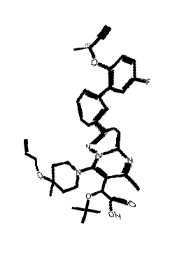 C#C[C@H](C)Oc1ccc(F)cc1-c1cccc(-c2cc3nc(C)c(C(OC(C)(C)C)C(=O)O)c(N4CCC(C)(OCC=C)CC4)n3n2)c1